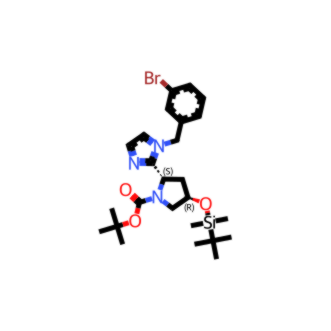 CC(C)(C)OC(=O)N1C[C@H](O[Si](C)(C)C(C)(C)C)C[C@H]1c1nccn1Cc1cccc(Br)c1